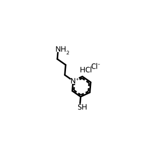 Cl.NCCC[n+]1cccc(S)c1.[Cl-]